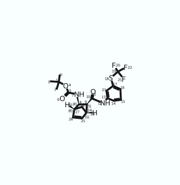 CC(C)(C)OC(=O)N[C@H]1[C@@H](C(=O)Nc2cccc(SC(F)(F)F)c2)[C@@H]2C=C[C@H]1C2